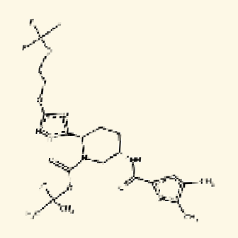 Cc1cc(C(=O)N[C@H]2CC[C@H](c3nnc(OCCOC(F)(F)F)o3)N(C(=O)OC(C)(C)C)C2)sc1C